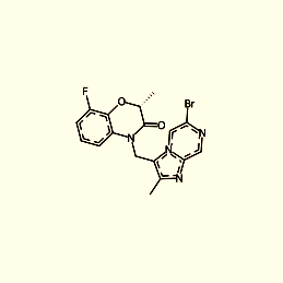 Cc1nc2cnc(Br)cn2c1CN1C(=O)[C@@H](C)Oc2c(F)cccc21